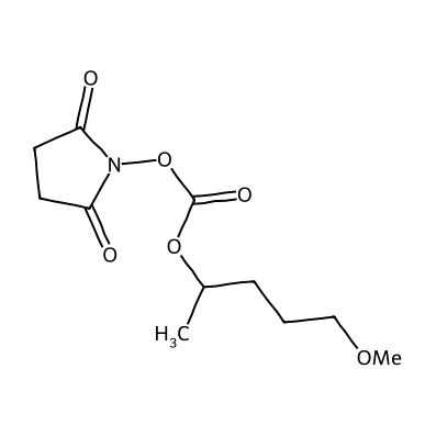 COCCCC(C)OC(=O)ON1C(=O)CCC1=O